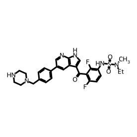 CCN(C)S(=O)(=O)Nc1ccc(F)c(C(=O)c2c[nH]c3ncc(-c4ccc(CN5CCNCC5)cc4)cc23)c1F